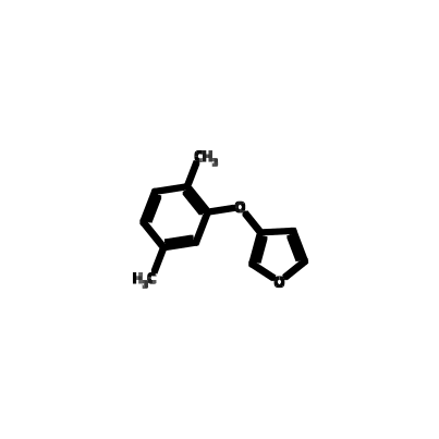 Cc1ccc(C)c(Oc2ccoc2)c1